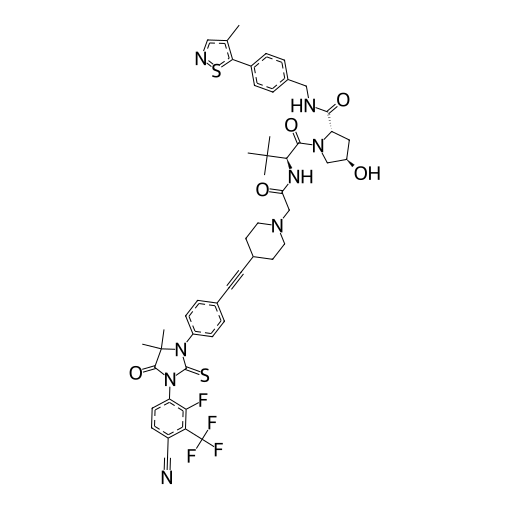 Cc1cnsc1-c1ccc(CNC(=O)[C@@H]2C[C@@H](O)CN2C(=O)[C@@H](NC(=O)CN2CCC(C#Cc3ccc(N4C(=S)N(c5ccc(C#N)c(C(F)(F)F)c5F)C(=O)C4(C)C)cc3)CC2)C(C)(C)C)cc1